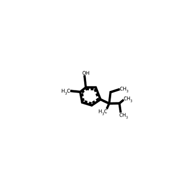 CCC(C)(c1ccc(C)c(O)c1)C(C)C